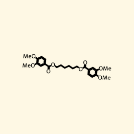 COc1ccc(C(=O)OCCCCCCOC(=O)c2ccc(OC)c(OC)c2)cc1OC